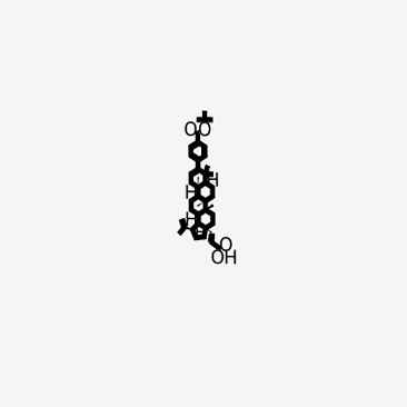 C=C(C)[C@@H]1CC[C@]2(/C=C/C(=O)O)CC[C@]3(C)[C@H](CC[C@@H]4[C@@]5(C)CC=C(c6ccc(C(=O)OC(C)(C)C)cc6)C(C)(C)[C@@H]5CC[C@]43C)[C@@H]12